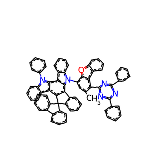 Cc1cc(-n2c3ccccc3c3c2c2c(c4c5ccccc5n(-c5ccccc5)c43)C3(c4ccccc4-c4ccccc43)c3ccccc3-2)c2oc3ccccc3c2c1-c1nc(-c2ccccc2)nc(-c2ccccc2)n1